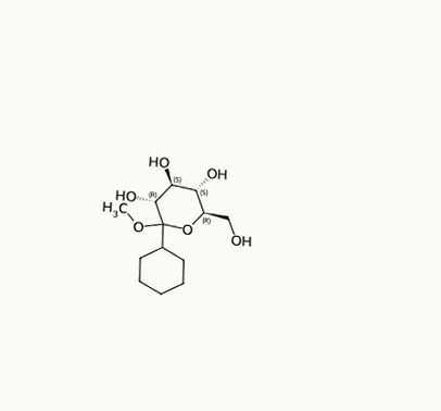 COC1(C2CCCCC2)O[C@H](CO)[C@@H](O)[C@H](O)[C@H]1O